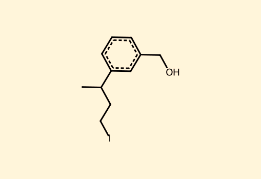 CC(CCI)c1cccc(CO)c1